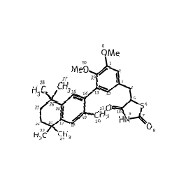 COc1cc(CC2SC(=O)NC2=O)cc(-c2cc3c(cc2C)C(C)(C)CCC3(C)C)c1OC